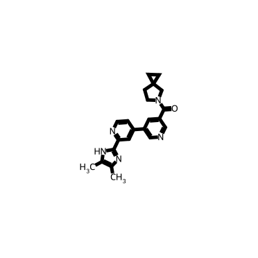 Cc1nc(-c2cc(-c3cncc(C(=O)N4CCC5(CC5)C4)c3)ccn2)[nH]c1C